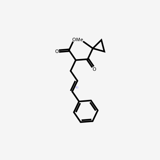 COC(=O)C(C/C=C/c1ccccc1)C(=O)C1(C)CC1